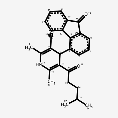 CC1=C(C#N)C(c2cccc3c2-c2ccccc2C3=O)C(C(=O)CCC(C)C)=C(C)N1